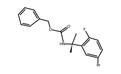 [CH2][C@](C)(NC(=O)OCc1ccccc1)c1cc(Br)ccc1F